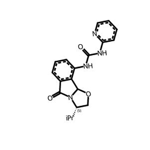 CC(C)[C@H]1COC2c3c(NC(=O)Nc4ccccn4)cccc3C(=O)N21